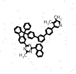 Cc1nc(-c2ccc3c(c2)C(c2ccccc2)(c2ccc(-c4cccc(-c5ccc(-c6cncc(C)c6C)cc5)c4)cc2)c2ccccc2-3)nc(-c2cccc3ccccc23)n1